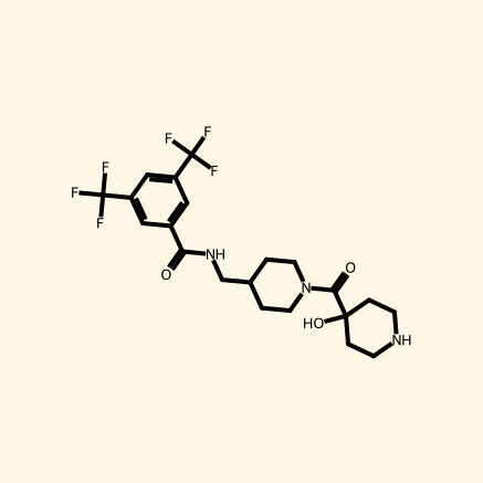 O=C(NCC1CCN(C(=O)C2(O)CCNCC2)CC1)c1cc(C(F)(F)F)cc(C(F)(F)F)c1